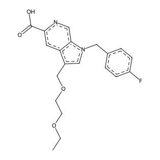 CCOCCOCc1cn(Cc2ccc(F)cc2)c2cnc(C(=O)O)cc12